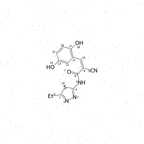 CCc1nnc(NC(=O)C(C#N)=Cc2cc(O)ccc2O)s1